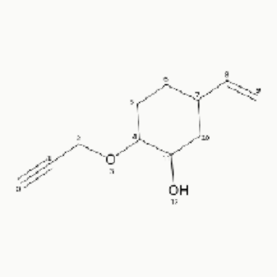 C#CCOC1CCC(C=C)CC1O